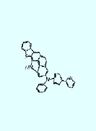 c1ccc(N(c2ccc(-c3cccnc3)cc2)c2cc3ccc4cc5c6ccccc6sc5c5[nH]c(c2)c3c45)cc1